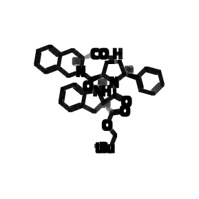 CC(C)(C)COC(=O)[C@]1(C(=O)N2[C@@H](C(=O)N3Cc4ccccc4C[C@@H]3C(=O)O)CC[C@H]2c2ccccc2)Cc2ccccc2N1